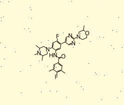 Cc1cc(C(=O)Nc2cc(-c3cnc(N4CCOC(C)C4)nc3)c(F)cc2N2CC(C)N(C)C(C)C2)cc(C)c1F